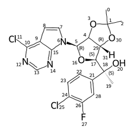 CC1(C)OC2[C@H](n3ccc4c(Cl)ncnc43)O[C@H]([C@@](C)(O)c3ccc(Cl)c(F)c3)[C@H]2O1